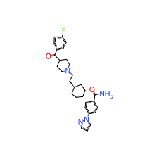 NC(=O)c1ccc(-n2cccn2)cc1[C@H]1CC[C@H](CCN2CCC(C(=O)c3ccc(F)cc3)CC2)CC1